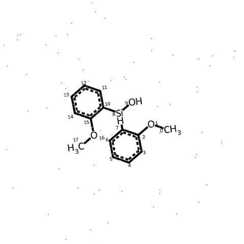 COc1ccccc1[SiH](O)c1ccccc1OC